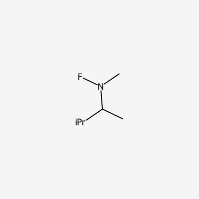 CC(C)C(C)N(C)F